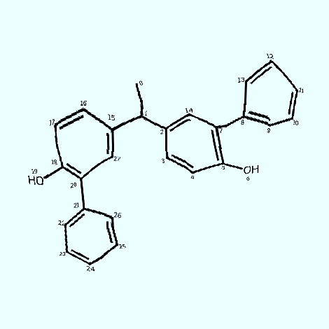 CC(c1ccc(O)c(-c2ccccc2)c1)c1ccc(O)c(-c2ccccc2)c1